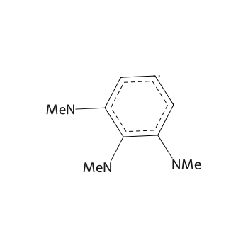 CNc1c[c]cc(NC)c1NC